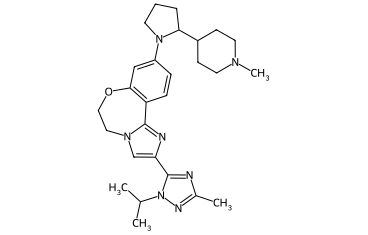 Cc1nc(-c2cn3c(n2)-c2ccc(N4CCCC4C4CCN(C)CC4)cc2OCC3)n(C(C)C)n1